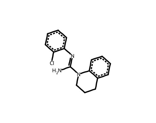 NC(=Nc1ccccc1Cl)N1CCCc2ccccc21